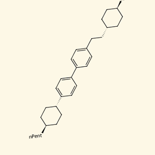 CCCCC[C@H]1CC[C@H](c2ccc(-c3ccc(CC[C@H]4CC[C@H](CCC)CC4)cc3)cc2)CC1